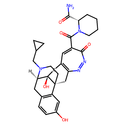 NC(=O)[C@@H]1CCCCN1C(=O)c1cc2c(nnc1=O)C[C@]13CCN(CC4CC4)[C@H](Cc4ccc(O)cc41)[C@]3(O)C2